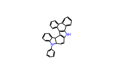 C1=CC2C(c3ccccc3N2c2ccccc2)c2c1[nH]c1c3ccccc3c3ccccc3c21